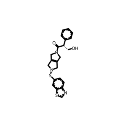 O=C([C@@H](CO)c1ccccc1)N1CC2=C(CN(Sc3ccc4ncsc4c3)C2)C1